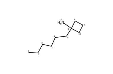 CCCCCCC1(N)CCC1